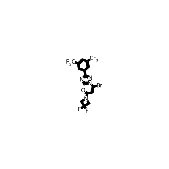 O=C(/C=C(/Br)n1cnc(C2C=C(C(F)(F)F)C=C(C(F)(F)F)C2)n1)N1CC(F)(F)C1